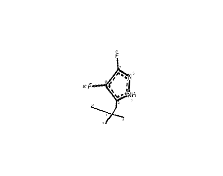 CC(C)(C)c1[nH]nc(F)c1F